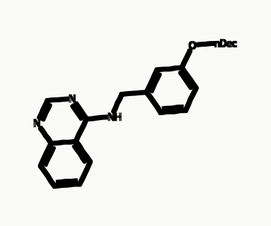 CCCCCCCCCCOc1cccc(CNc2ncnc3ccccc23)c1